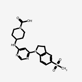 CS(=O)(=O)c1ccc2c(c1)CCN2c1cc(NC2CCN(C(=O)O)CC2)ncn1